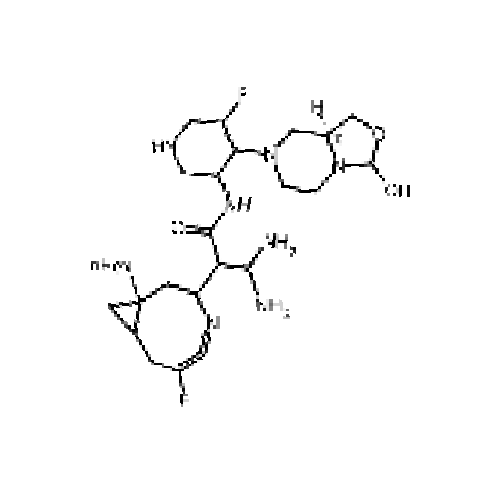 CCCCCCC12CC(C(C(=O)NC3CNCC(F)C3N3CCN4C(O)OC[C@@H]4C3)C(N)N)N=C=C(F)CC1C2